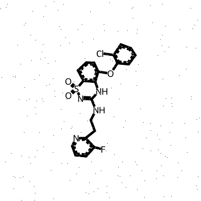 O=S1(=O)N=C(NCCc2ncccc2F)Nc2c(Oc3ccccc3Cl)cccc21